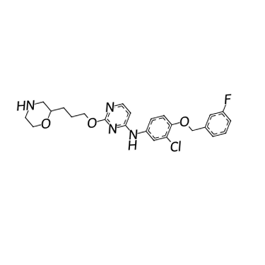 Fc1cccc(COc2ccc(Nc3ccnc(OCCCC4CNCCO4)n3)cc2Cl)c1